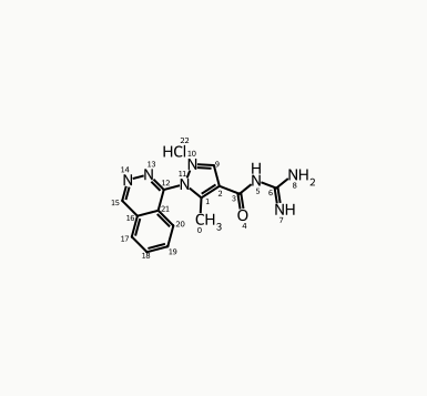 Cc1c(C(=O)NC(=N)N)cnn1-c1nncc2ccccc12.Cl